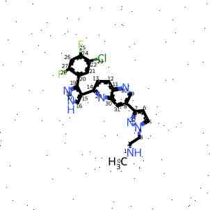 CNCCn1ccc(-c2cnc3ccc(-c4c[nH]nc4-c4cc(Cl)c(F)cc4F)nc3c2)n1